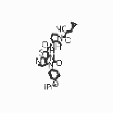 CC1=C(NC(=O)c2sc3nccc4c3c2NC(=O)N4c2ccc(OC(C)C)cc2)CCCN1C(=O)/C(C#N)=C/C1CC1